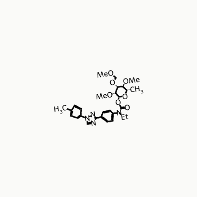 CCN(C(=O)O[C@@H]1O[C@@H](C)[C@H](OC)[C@@H](OCOC)[C@H]1OC)c1ccc(-c2ncn(-c3ccc(C)cc3)n2)cc1